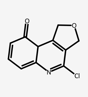 O=C1C=CC=C2N=C(Cl)C3=C(COC3)C12